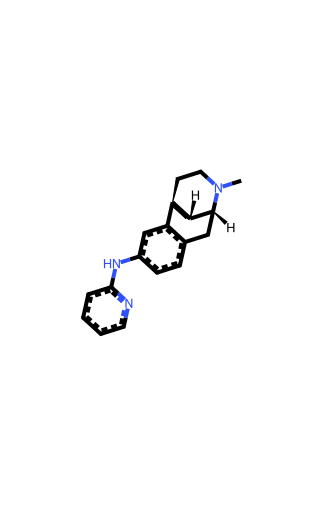 CN1CC[C@]23CCCC[C@H]2[C@H]1Cc1ccc(Nc2ccccn2)cc13